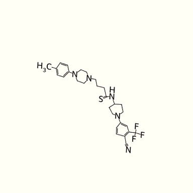 Cc1ccc(N2CCN(CCCC(=S)NC3CCN(c4ccc(C#N)c(C(F)(F)F)c4)CC3)CC2)cc1